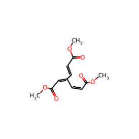 COC(=O)\C=C/C(=C\C(=O)OC)/C=C/C(=O)OC